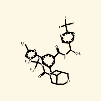 Cc1cnc(-c2cc(OC3C4COCC3CN(C(=O)OC(C)(C)C)C4)cc(C(=O)N[C@H](C)c3cnc(C(F)(F)F)nc3)c2)s1